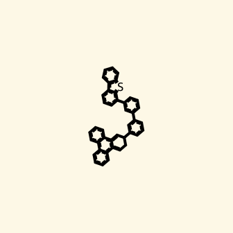 C1=c2c(c3ccccc3c3ccccc23)=CC(c2cccc(-c3cccc(-c4cccc5c4sc4ccccc45)c3)c2)C1